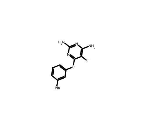 Nc1nc(N)c(F)c(Oc2ccc[c]([Na])c2)n1